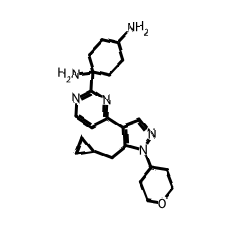 NC1CCC(N)(c2nccc(-c3cnn(C4CCOCC4)c3CC3CC3)n2)CC1